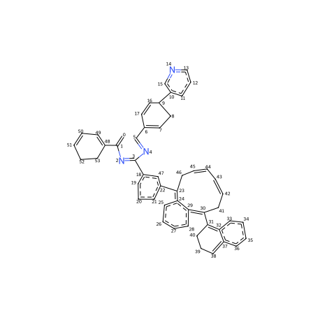 C=C(/N=C(\N=C\C1=CCC(c2cccnc2)C=C1)c1cccc(/C2=c3\cccc\c3=C(/C3=c4ccccc4=CCC3)C/C=C\C=C/C2)c1)C1=CC=CCC1